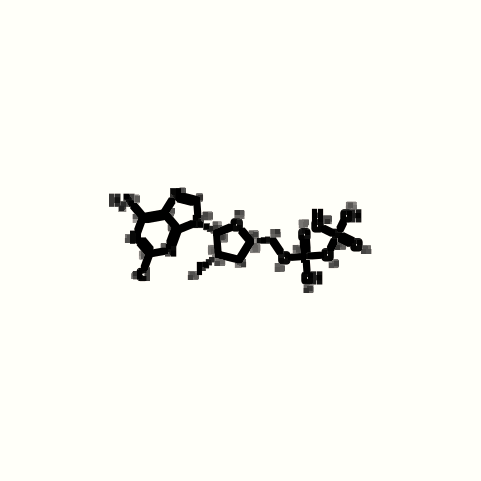 Nc1nc(Cl)nc2c1ncn2[C@@H]1O[C@H](COP(=O)(O)OP(=O)(O)O)C[C@@H]1F